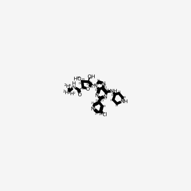 [2H]C([2H])([2H])NC(=O)[C@H]1O[C@@H](n2cnc3c(NC4CCNCC4)nc(-c4cncc(Cl)c4)nc32)[C@H](O)[C@@H]1O